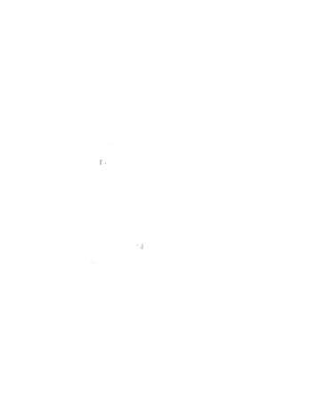 Cc1cc(-c2cc(NCC(N)=O)ccc2Oc2ccccc2)c[nH]c1=O